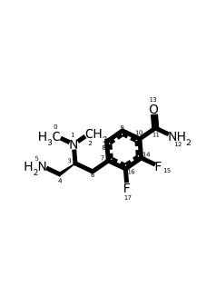 CN(C)[C@H](CN)Cc1ccc(C(N)=O)c(F)c1F